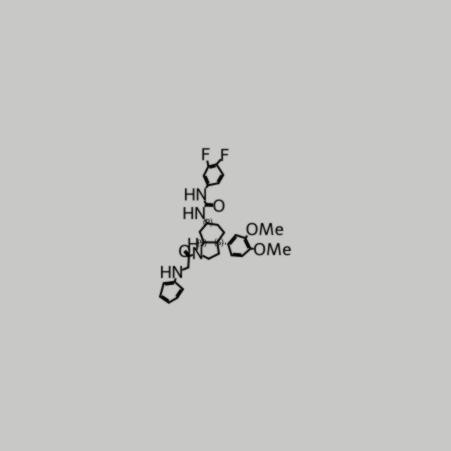 COc1ccc([C@@]23CC[C@@H](NC(=O)Nc4ccc(F)c(F)c4)C[C@@H]2N(C(=O)CNc2ccccc2)CC3)cc1OC